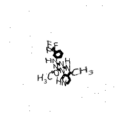 CCOc1nc(Nc2cccc(C(F)(F)F)c2)nc(NC(C)C2CCNCC2)n1